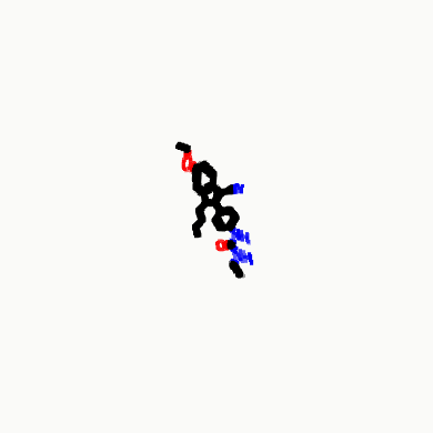 CCCCC1C(c2ccc(NC(=O)NCC)cc2)=C(C#N)c2ccc(OCC)cc21